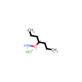 CCCC(CCC)ON.Cl